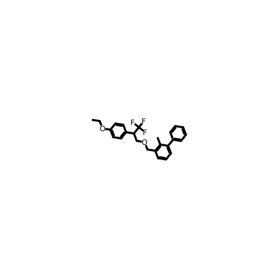 CCOc1ccc(C(COCc2cccc(-c3ccccc3)c2C)C(F)(F)F)cc1